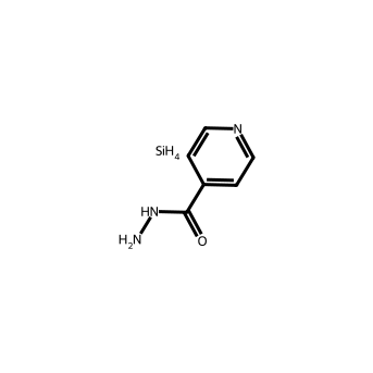 NNC(=O)c1ccncc1.[SiH4]